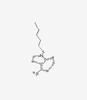 CCCCCSn1cnc2c(N)ncnc21